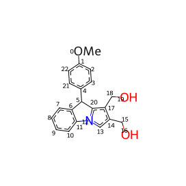 COc1ccc(C2c3ccccc3-n3cc(CO)c(CO)c32)cc1